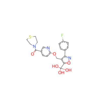 O=C(c1ccc(OCc2c(-c3ccc(F)cc3)noc2C(O)(O)O)nc1)N1CCSCC1